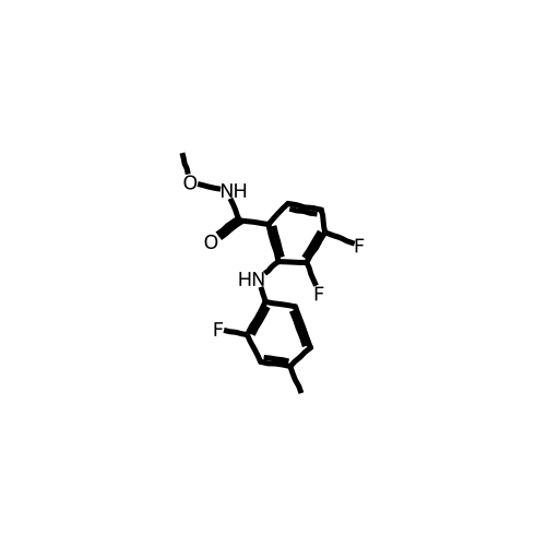 CONC(=O)c1ccc(F)c(F)c1Nc1ccc(C)cc1F